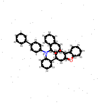 c1ccc(-c2ccc(N(c3ccccc3-c3ccc4c(c3)oc3ccccc34)c3cccc4ccccc34)cc2)cc1